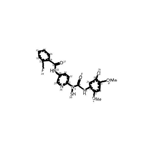 COc1cc(OC)c(NC(=O)N(S)c2ccc(NC(=O)c3ccccc3F)cn2)cc1Cl